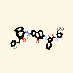 Cc1cccc(NC(=O)c2cc3ccccc3c(N=Nc3ccc4c(c3)C(=O)c3cc(N=Nc5c(O)c(C(=O)c6ccccc6Cl)cc6ccccc56)ccc3-4)c2O)c1